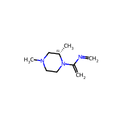 C=NC(=C)N1CCN(C)C[C@@H]1C